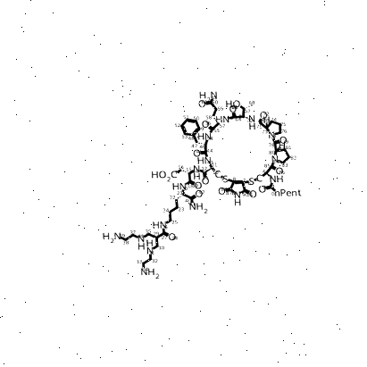 CCCCCC(=O)N[C@H]1CSC2=C(SC[C@@H](C(=O)N[C@@H](CC(=O)O)C(=O)N[C@@H](CCCCNC(=O)C(CNCCN)CNCCN)C(N)=O)NC(=O)[C@H](Cc3ccccc3)NC(=O)[C@H](CCC(N)=O)NC(=O)[C@H]([C@@H](C)O)NC(=O)[C@@H]3CCCN3C(=O)[C@@H]3CCCN3C1=O)C(=O)NC2=O